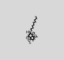 CCCCCCCCCCNC1=CC(=O)c2c(OC)ccc(OC)c2C1=O